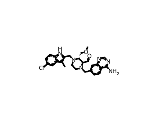 COC[C@@H]1C(C=O)N(Cc2ccc3c(N)ncnc3c2)CCN1Cc1[nH]c2ccc(Cl)cc2c1C